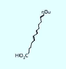 CCCC/C=C/CCC/C=C/C=C/CCCCC(=O)O